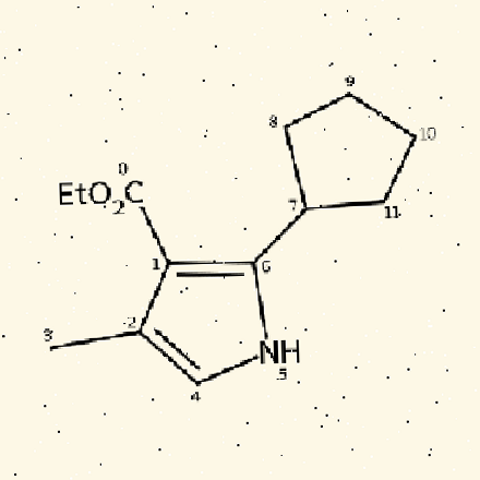 CCOC(=O)c1c(C)c[nH]c1C1CCCC1